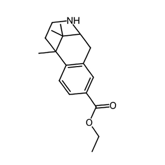 CCOC(=O)c1ccc2c(c1)CC1NCCC2(C)C1(C)C